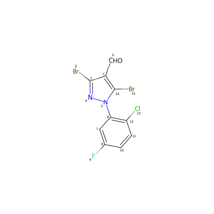 O=Cc1c(Br)nn(-c2cc(F)ccc2Cl)c1Br